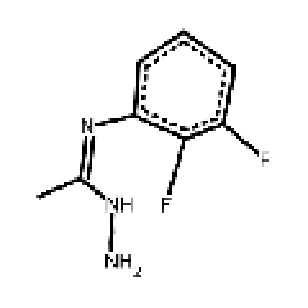 C/C(=N/c1cccc(F)c1F)NN